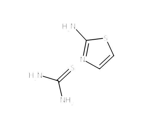 NC(N)=S.Nc1nccs1